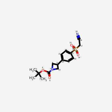 CC(C)(C)OC(=O)N1CC(c2ccc(S(=O)(=O)CC#N)cc2)C1